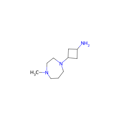 CN1CCCN(C2CC(N)C2)CC1